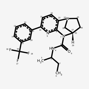 CCC(C)NC(=O)N1c2nc(-c3cccc(C(F)(F)F)c3)ccc2N2CC[C@H]1C2